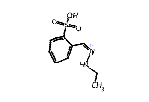 CCN/N=C\c1ccccc1S(=O)(=O)O